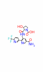 NC(=O)c1cnc(-c2ccc(C(F)(F)F)nc2)c(CNC(=O)C2C(O)CCN2C(=O)O)c1